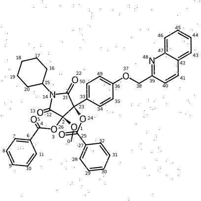 CO[C@@]1(OC(=O)c2ccccc2)C(=O)N(C2CCCCC2)C(=O)[C@]1(OC(=O)c1ccccc1)c1ccc(OCc2ccc3ccccc3n2)cc1